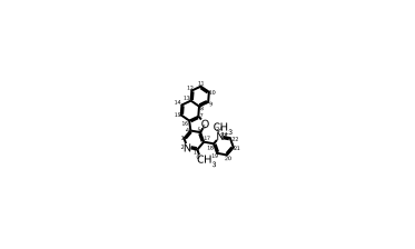 Cc1ncc2c(oc3c4ccccc4ccc23)c1-c1cccc[n+]1C